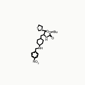 CC(C)(C)OC(=O)NC(CC1CCC(NCc2ccc([N+](=O)[O-])cc2)CC1)C(=O)N1CCSC1